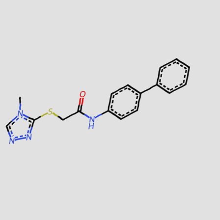 Cn1cnnc1SCC(=O)Nc1ccc(-c2ccccc2)cc1